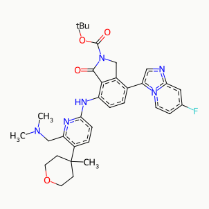 CN(C)Cc1nc(Nc2ccc(-c3cnc4cc(F)ccn34)c3c2C(=O)N(C(=O)OC(C)(C)C)C3)ccc1C1(C)CCOCC1